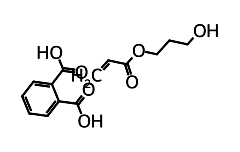 C=CC(=O)OCCCO.O=C(O)c1ccccc1C(=O)O